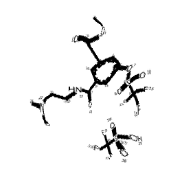 COC(=O)c1cc(OS(=O)(=O)C(F)(F)F)cc(C(=O)NCCN(C)C)c1.O=S(=O)(O)C(F)(F)F